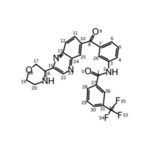 O=C(Nc1cccc(C(=O)c2ccc3nc(C4COCCN4)cnc3c2)c1)c1cccc(C(F)(F)F)c1